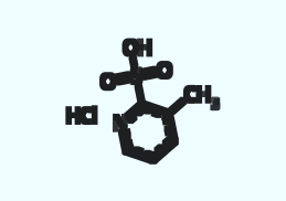 Cc1cccnc1S(=O)(=O)O.Cl